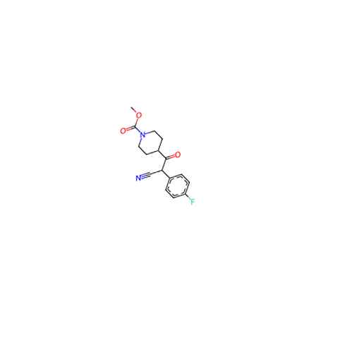 COC(=O)N1CCC(C(=O)C(C#N)c2ccc(F)cc2)CC1